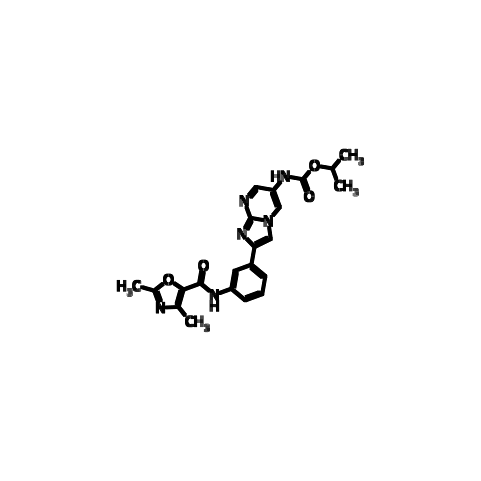 Cc1nc(C)c(C(=O)Nc2cccc(-c3cn4cc(NC(=O)OC(C)C)cnc4n3)c2)o1